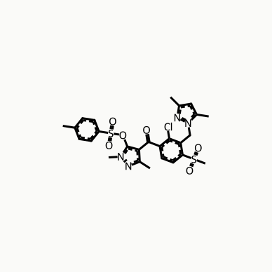 Cc1ccc(S(=O)(=O)Oc2c(C(=O)c3ccc(S(C)(=O)=O)c(Cn4nc(C)cc4C)c3Cl)c(C)nn2C)cc1